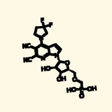 N#Cc1nc2c(ccn2[C@@H]2O[C@H](COCP(=O)(O)O)[C@@H](O)[C@H]2O)c(N2CCC(F)(F)C2)c1C#N